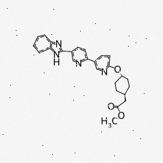 COC(=O)C[C@H]1CC[C@H](Oc2ccc(-c3ccc(-c4nc5ccccc5[nH]4)cn3)cn2)CC1